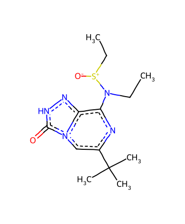 CCN(c1nc(C(C)(C)C)cn2c(=O)[nH]nc12)[S+]([O-])CC